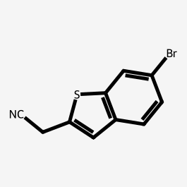 N#CCc1cc2ccc(Br)cc2s1